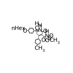 CCCCCCOc1ccc([C@]2(C)CC(c3ccc(C)cc3)=C(C(=O)NS(C)(=O)=O)C(=O)N2)cc1